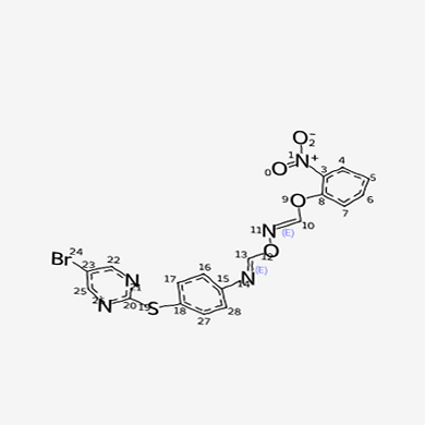 O=[N+]([O-])c1ccccc1O/C=N/O/C=N/c1ccc(Sc2ncc(Br)cn2)cc1